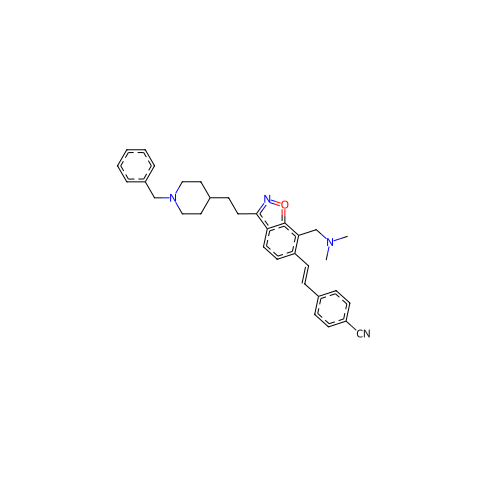 CN(C)Cc1c(/C=C/c2ccc(C#N)cc2)ccc2c(CCC3CCN(Cc4ccccc4)CC3)noc12